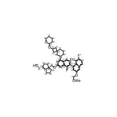 CCc1c(F)ccc2cc(OCOC)cc(-c3ncc4c(N5CCCC6(CC(OC7CCCCO7)C6)C5)nc(OC[C@@]56CCCN5[C@H](CO)CC6)nc4c3F)c12